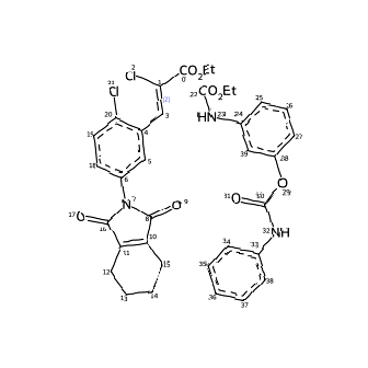 CCOC(=O)/C(Cl)=C/c1cc(N2C(=O)C3=C(CCCC3)C2=O)ccc1Cl.CCOC(=O)Nc1cccc(OC(=O)Nc2ccccc2)c1